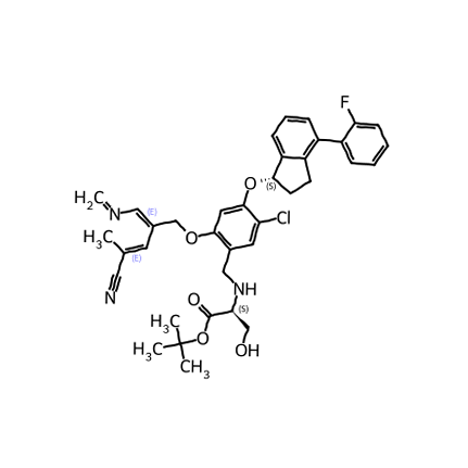 C=N/C=C(\C=C(/C)C#N)COc1cc(O[C@H]2CCc3c(-c4ccccc4F)cccc32)c(Cl)cc1CN[C@@H](CO)C(=O)OC(C)(C)C